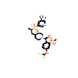 CC(CC1CCN(C(=O)c2ccc(OC(F)F)cc2S(C)(=O)=O)CC1)S(=O)(=O)c1cncc(C(F)(F)F)c1